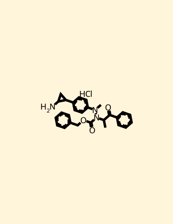 CC(C(=O)c1ccccc1)N(C(=O)OCc1ccccc1)N(C)c1ccc(C2CC2N)cc1.Cl